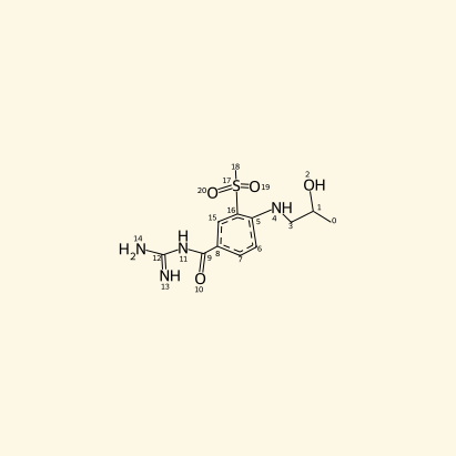 CC(O)CNc1ccc(C(=O)NC(=N)N)cc1S(C)(=O)=O